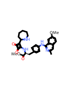 COC(=O)[C@H](Cc1ccc(Nc2nc(C)cc3ccc(OC)cc23)cc1)Nc1c(C2CCCCCN2)c(=O)c1=O